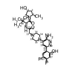 C[C@@H]1C[C@@H](O)CN1C(=O)[C@@H](NC(=O)CN1CCN(c2cc(-c3cc(F)c(F)cc3O)nnc2N)CC1)C(C)(C)C